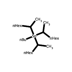 CCCCCC[CH](C)[Sn]([CH2]CCC)([CH](C)CCCCCC)[CH](C)CCCCCC